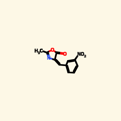 CC1=NC(=Cc2cccc([N+](=O)[O-])c2)C(=O)O1